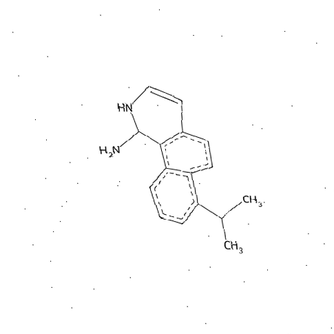 CC(C)c1cccc2c3c(ccc12)C=CNC3N